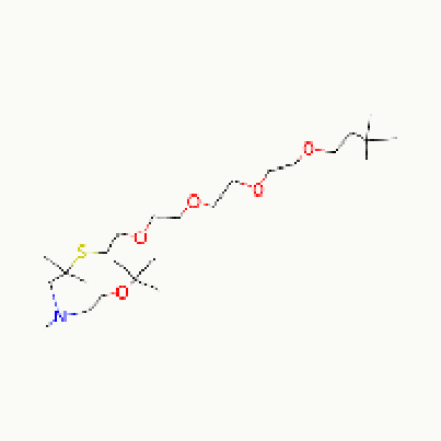 CN(CCOC(C)(C)C)CC(C)(C)SCCOCCOCCOCCOCCC(C)(C)C